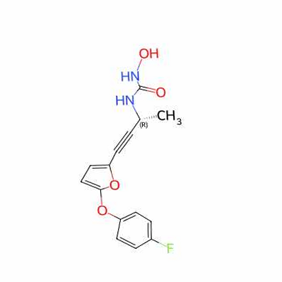 C[C@H](C#Cc1ccc(Oc2ccc(F)cc2)o1)NC(=O)NO